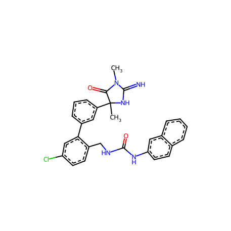 CN1C(=N)NC(C)(c2cccc(-c3cc(Cl)ccc3CNC(=O)Nc3ccc4ccccc4c3)c2)C1=O